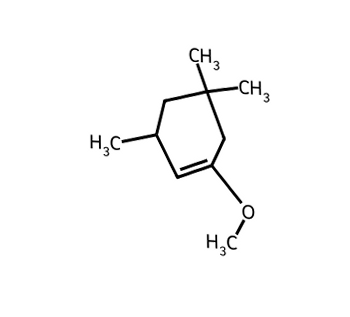 COC1=CC(C)CC(C)(C)C1